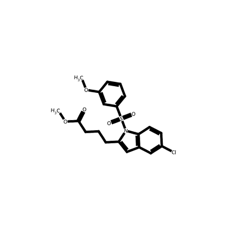 COC(=O)CCCc1cc2cc(Cl)ccc2n1S(=O)(=O)c1cccc(OC)c1